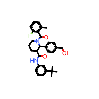 Cc1cccc(F)c1C(=O)N1CCCC(C(=O)Nc2cccc(C(C)(C)C)c2)C1c1ccc(CO)cc1